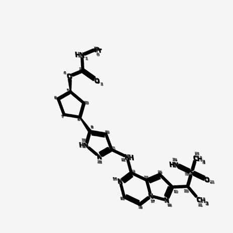 CC(C)NC(=O)O[C@@H]1CC[C@H](c2cc(Nc3nccn4nc(C(C)S(C)(=N)=O)cc34)n[nH]2)C1